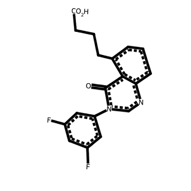 O=C(O)CCCc1cccc2ncn(-c3cc(F)cc(F)c3)c(=O)c12